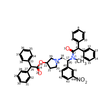 CN(C(=O)C(c1ccccc1)c1ccccc1)[C@@H](CN1CCC(OC(=O)C(c2ccccc2)c2ccccc2)C1)c1cccc([N+](=O)[O-])c1